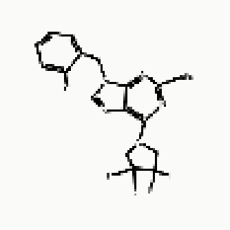 CCCCc1nc(N2CC(F)(F)C(F)(F)C2)c2ncn(Cc3ccccc3Cl)c2n1